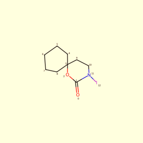 O=C1OC2(CCCCC2)CCN1I